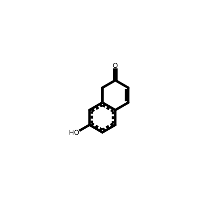 O=C1C=Cc2ccc(O)cc2C1